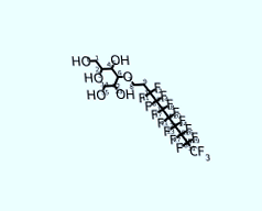 OCC(O)C(O)C(OCCC(F)(F)C(F)(F)C(F)(F)C(F)(F)C(F)(F)C(F)(F)C(F)(F)C(F)(F)F)C(O)CO